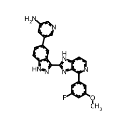 COc1cc(F)cc(-c2nccc3[nH]c(-c4n[nH]c5ccc(-c6cncc(N)c6)cc45)nc23)c1